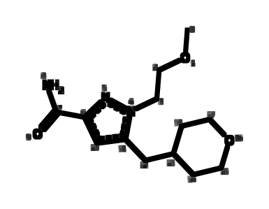 COCCn1nc(C(N)=O)cc1CC1CCOCC1